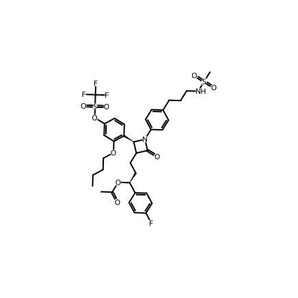 CCCCOc1cc(OS(=O)(=O)C(F)(F)F)ccc1[C@@H]1C(CC[C@H](OC(C)=O)c2ccc(F)cc2)C(=O)N1c1ccc(CCCNS(C)(=O)=O)cc1